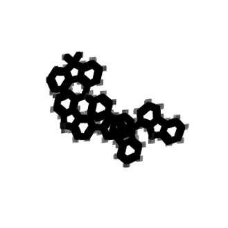 CC1(C)c2ccccc2-c2c(N(c3ccc(-c4ccccc4)cc3)c3cccc4oc5ccc(-c6ccc7c(c6)c6ccccc6n7-c6cccc7c6oc6ccccc67)cc5c34)cccc21